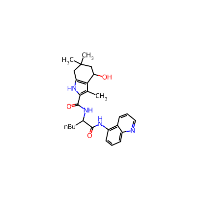 CCCCC(NC(=O)c1[nH]c2c(c1C)C(O)CC(C)(C)C2)C(=O)Nc1cccc2ncccc12